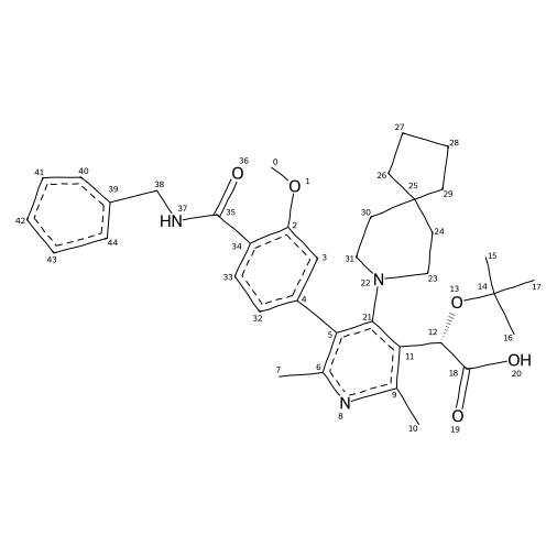 COc1cc(-c2c(C)nc(C)c([C@H](OC(C)(C)C)C(=O)O)c2N2CCC3(CCCC3)CC2)ccc1C(=O)NCc1ccccc1